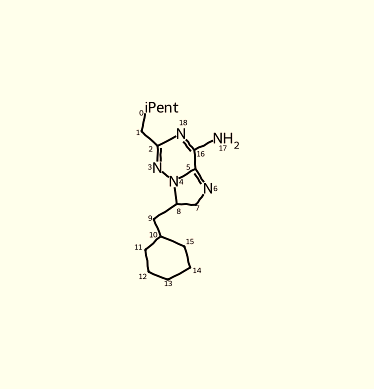 CCCC(C)CC1=NN2C(=NCC2CC2CCCCC2)C(N)=N1